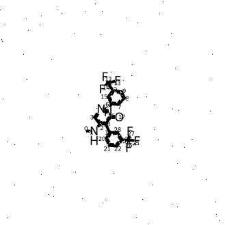 CNc1cnn(-c2cccc(C(F)(F)F)c2)c(=O)c1-c1cccc(C(F)(F)F)c1